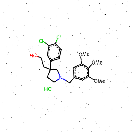 COc1cc(CN2CCC(CCO)(c3ccc(Cl)c(Cl)c3)C2)cc(OC)c1OC.Cl